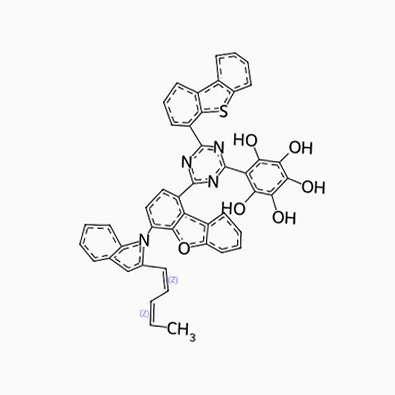 C/C=C\C=C/c1cc2ccccc2n1-c1ccc(-c2nc(-c3c(O)c(O)c(O)c(O)c3O)nc(-c3cccc4c3sc3ccccc34)n2)c2c1oc1ccccc12